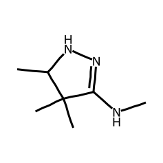 CNC1=NNC(C)C1(C)C